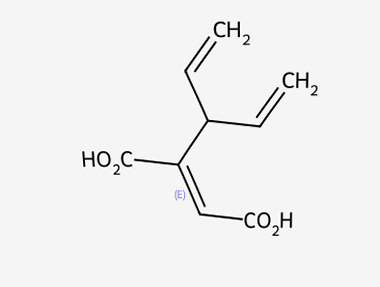 C=CC(C=C)/C(=C\C(=O)O)C(=O)O